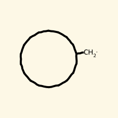 [CH2]C1CCCCCCCCCCCCCCCCC1